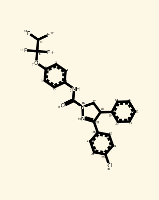 O=C(Nc1ccc(OC(F)(F)C(F)F)cc1)N1CC(c2ccccc2)C(c2ccc(Cl)cc2)=N1